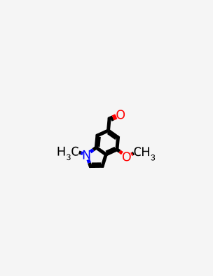 COc1cc(C=O)cc2c1ccn2C